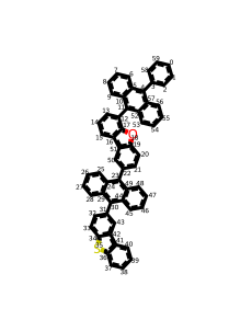 c1ccc(-c2c3ccccc3c(-c3cccc4c3oc3ccc(-c5c6ccccc6c(-c6ccc7sc8ccccc8c7c6)c6ccccc56)cc34)c3ccccc23)cc1